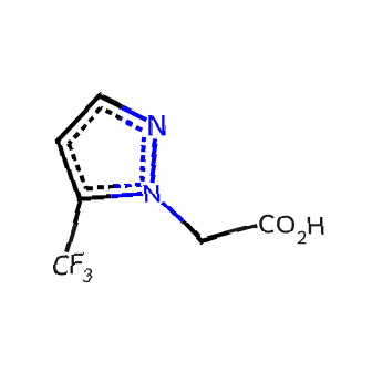 O=C(O)Cn1nccc1C(F)(F)F